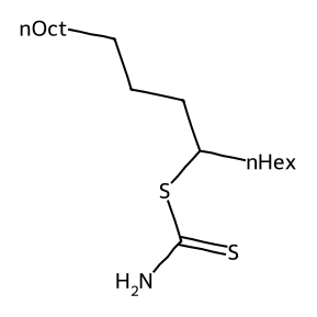 CCCCCCCCCCCC(CCCCCC)SC(N)=S